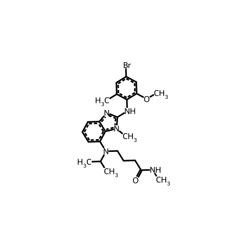 CNC(=O)CCCN(c1cccc2nc(Nc3c(C)cc(Br)cc3OC)n(C)c12)C(C)C